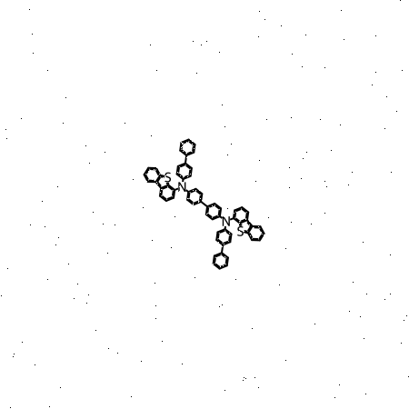 c1ccc(-c2ccc(N(c3ccc(-c4ccc(N(c5ccc(-c6ccccc6)cc5)c5cccc6c5sc5ccccc56)cc4)cc3)c3cccc4c3sc3ccccc34)cc2)cc1